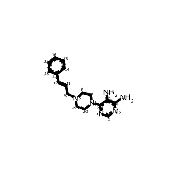 Nc1ncnc(N2CCN(CC=Cc3ccccc3)CC2)c1N